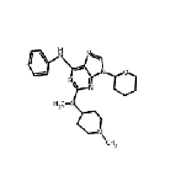 CN1CCC(N(C)c2nc(Nc3cc[c]cc3)c3ncn(C4CCCCO4)c3n2)CC1